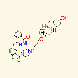 C[C@]12CC[C@@H]3c4ccc(O)cc4CC[C@H]3[C@@H]1CC[C@@H]2OCCCCN1CCN(C(=O)c2cc(Cc3n[nH]c(=O)c4ccccc34)ccc2F)CC1